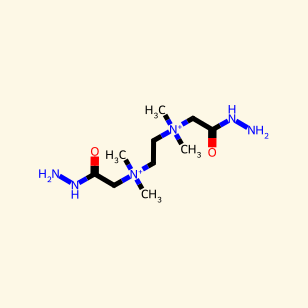 C[N+](C)(CC[N+](C)(C)CC(=O)NN)CC(=O)NN